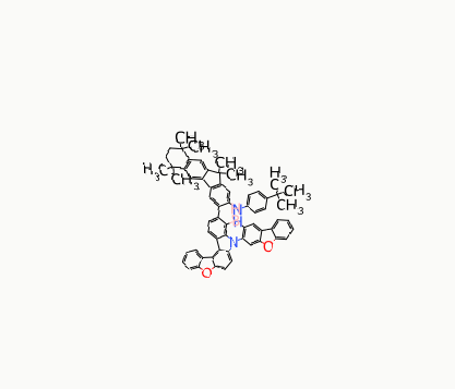 CC(C)(C)c1ccc(Nc2cc3c(cc2-c2ccc4c5c6c(ccc5n5c4c2Bc2cc4c(cc2-5)oc2ccccc24)oc2ccccc26)-c2cc4c(cc2C3(C)C)C(C)(C)CCC4(C)C)cc1